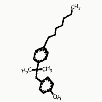 CCCCCCCc1ccc(C(C)(C)Cc2ccc(O)cc2)cc1